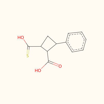 O=C(O)C1C(C(O)=S)CC1c1ccccc1